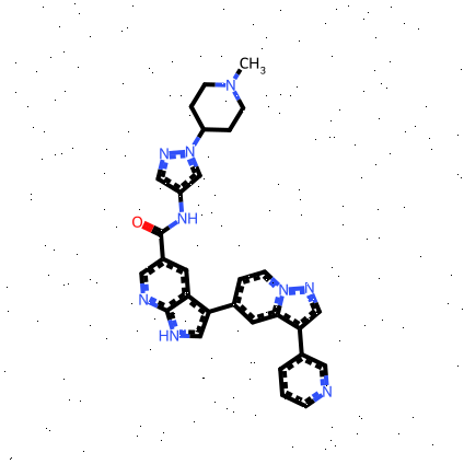 CN1CCC(n2cc(NC(=O)c3cnc4[nH]cc(-c5ccn6ncc(-c7cccnc7)c6c5)c4c3)cn2)CC1